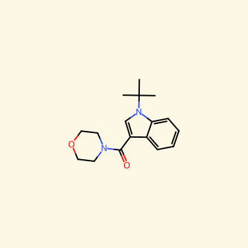 CC(C)(C)n1cc(C(=O)N2CCOCC2)c2ccccc21